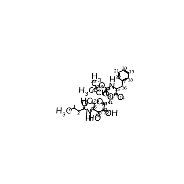 CCCC(=O)N[C@H]1C(O)O[C@H](COC(=O)C(Cc2ccccc2)NC(=O)OC(C)(C)C)[C@@H](O)[C@@H]1O